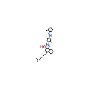 Cc1ccccc1/N=N/c1ccc(/N=N/c2c(O)cc(CCCCCC(C)C)c3ccccc23)c(C)c1